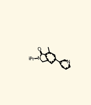 Cc1cc(-c2cccnc2)cc2c1C(=O)N(C(C)C)C2